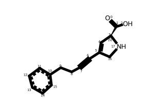 O=C(O)[C@@H]1C=C(C#CCCc2ccccc2)CN1